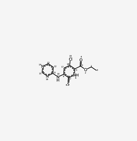 CCOC(=O)c1[nH]c(=S)c(Nc2ccncn2)cc1Cl